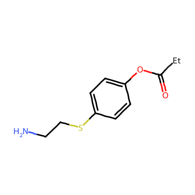 CCC(=O)Oc1ccc(SCCN)cc1